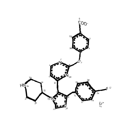 O=C([O-])c1ccc(Oc2nccc(-c3c(-c4ccc(F)cc4)ncn3C3CCNCC3)n2)cc1.[Li+]